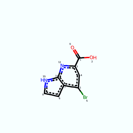 O=C(O)c1cc(Br)c2cc[nH]c2n1